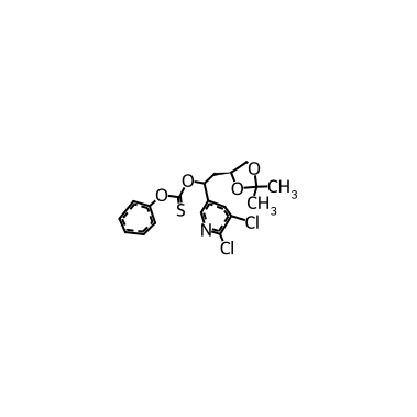 CC1(C)OC[C@H](CC(OC(=S)Oc2ccccc2)c2cnc(Cl)c(Cl)c2)O1